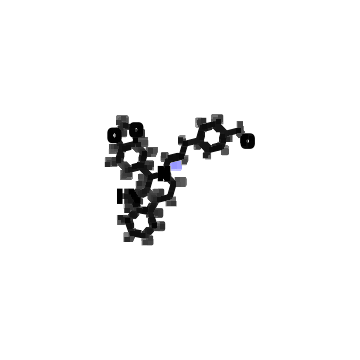 O=Cc1ccc(C/C=C/N2CCc3c([nH]c4ccccc34)C2c2ccc3c(c2)OCO3)cc1